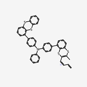 C=C/C=C\C1=C(C)Sc2cccc(-c3ccc(N(c4ccccc4)c4ccc(-c5cccc6c5Sc5ccccc5S6)cc4)cc3)c2S1